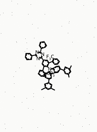 Cc1cc(C)cc(-c2ccc3c(c2)c2cc(-c4cc(C)cc(C)c4)ccc2n3-c2c(-c3ccccc3C(F)(F)F)cc(-c3nc(-c4ccccc4)nc(-c4ccccc4)n3)cc2-c2ccccc2C(F)(F)F)c1